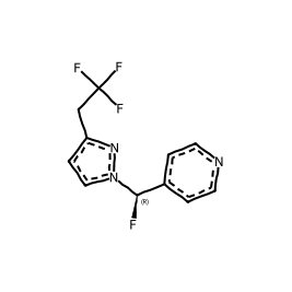 F[C@H](c1ccncc1)n1ccc(CC(F)(F)F)n1